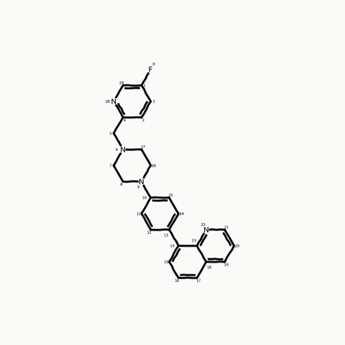 Fc1ccc(CN2CCN(c3ccc(-c4cccc5cccnc45)cc3)CC2)nc1